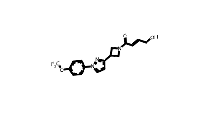 O=C(/C=C/CO)N1CC(c2ccn(-c3ccc(OC(F)(F)F)cc3)n2)C1